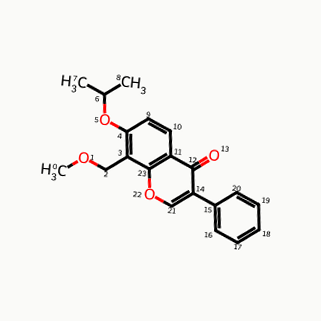 COCc1c(OC(C)C)ccc2c(=O)c(-c3ccccc3)coc12